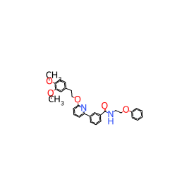 COc1ccc(CCOc2cccc(-c3cccc(C(=O)NCCOc4ccccc4)c3)n2)cc1OC